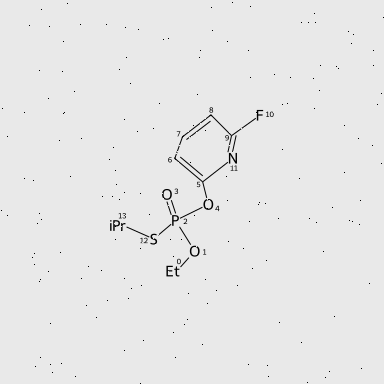 CCOP(=O)(Oc1cccc(F)n1)SC(C)C